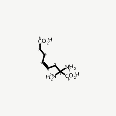 NC(N)(C/C=C\CCC(=O)O)C(=O)O